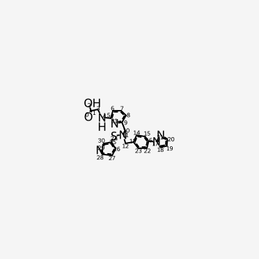 O=C(O)CNc1cccc(CN(Cc2ccc(-n3cccn3)cc2)Sc2cccnc2)n1